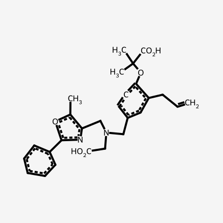 C=CCc1cc(CN(CC(=O)O)Cc2nc(-c3ccccc3)oc2C)ccc1OC(C)(C)C(=O)O